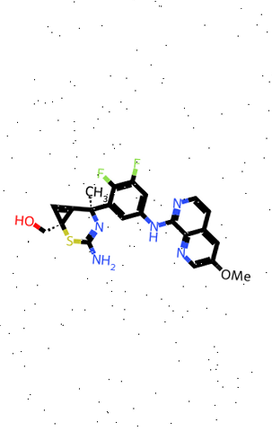 COc1cnc2c(Nc3cc(F)c(F)c([C@@]4(C)N=C(N)S[C@@]5(CO)C=C54)c3)nccc2c1